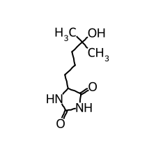 CC(C)(O)CCCC1NC(=O)NC1=O